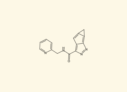 O=C(NCc1ccccn1)C1=C2C=C3CC3=C2N=N1